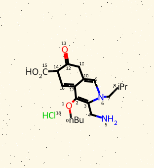 CCCCOC1=C(CN)N(CC(C)C)C=C2CC(=O)C(C(=O)O)C=C21.Cl